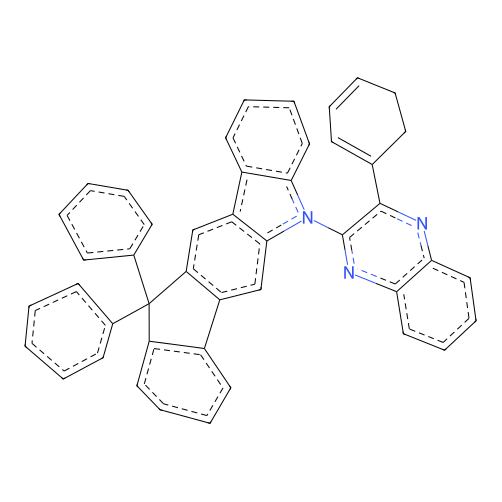 C1=CCCC(c2nc3ccccc3nc2-n2c3ccccc3c3cc4c(cc32)-c2ccccc2C4(c2ccccc2)c2ccccc2)=C1